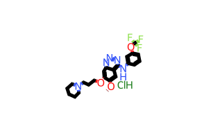 COc1cc2c(Nc3cccc(OC(F)(F)F)c3)nnnc2cc1OCCCN1CCCCC1.Cl